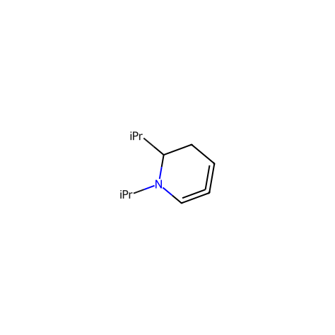 CC(C)C1CC=C=CN1C(C)C